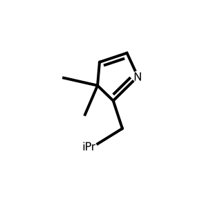 CC(C)CC1=NC=CC1(C)C